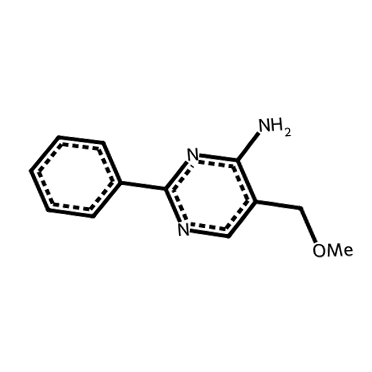 COCc1cnc(-c2ccccc2)nc1N